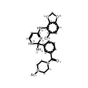 CC(=O)N1CCN(C(=O)c2cccc(C3(N)N=C(Nc4c(Cl)ccc5c4OCO5)C=CN3)c2)CC1